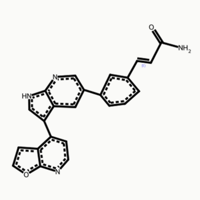 NC(=O)/C=C/c1cccc(-c2cnc3[nH]cc(-c4ccnc5occc45)c3c2)c1